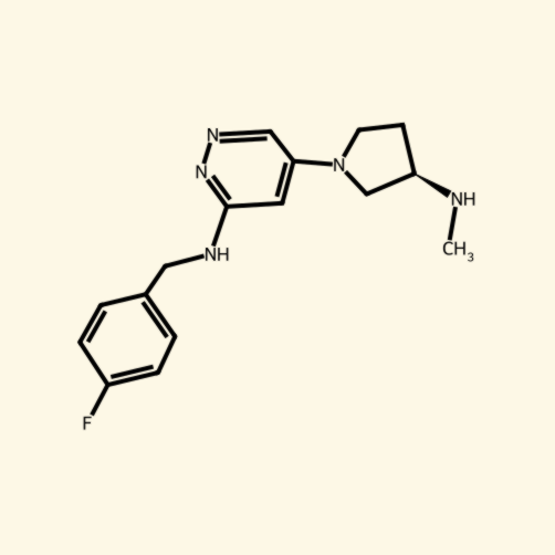 CN[C@@H]1CCN(c2cnnc(NCc3ccc(F)cc3)c2)C1